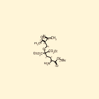 CCOC(=O)C(CCC(N)C(=O)OC(C)(C)C)(OCc1c(C)noc1C)C(=O)OCC